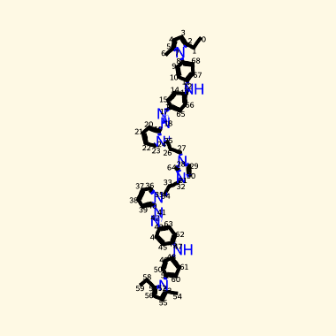 CCc1ccc(C)n1-c1ccc(Nc2ccc(/N=N/c3cccc[n+]3CCCn3cc[n+](CCC[n+]4ccccc4/N=N/c4ccc(Nc5ccc(-n6c(C)ccc6CC)cc5)cc4)c3)cc2)cc1